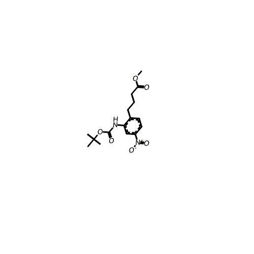 COC(=O)CCCc1ccc([N+](=O)[O-])cc1NC(=O)OC(C)(C)C